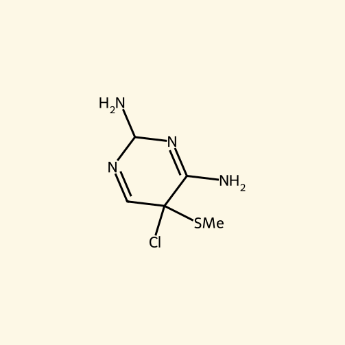 CSC1(Cl)C=NC(N)N=C1N